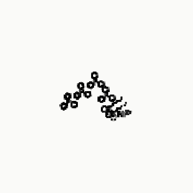 CCCCCCCC(=O)[O-].CCCCCCCC(=O)[O-].[Ni+2].c1ccc(P(c2ccccc2)c2ccccc2)cc1.c1ccc(P(c2ccccc2)c2ccccc2)cc1.c1ccc(P(c2ccccc2)c2ccccc2)cc1.c1ccc(P(c2ccccc2)c2ccccc2)cc1